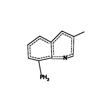 Cc1cnc2c(P)cccc2c1